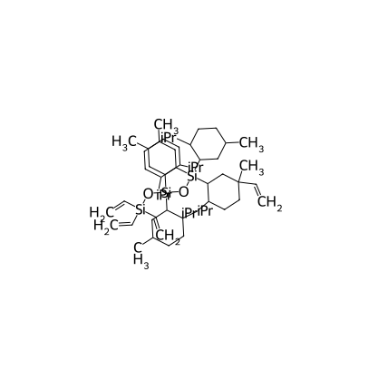 C=CC1(C)CCC(C(C)C)C([Si](O[Si](O[Si](C=C)(C=C)C=C)(C2CC(C)CCC2C(C)C)C2CC(C)CCC2C(C)C)(C2CC(C)CCC2C(C)C)C2CC(C)CCC2C(C)C)C1